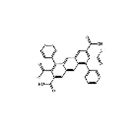 O=C(O)c1cc2cc3c(-c4ccccc4)c(C(=O)O)c(C(=O)O)cc3cc2c(-c2ccccc2)c1C(=O)O